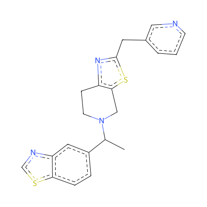 CC(c1ccc2scnc2c1)N1CCc2nc(Cc3cccnc3)sc2C1